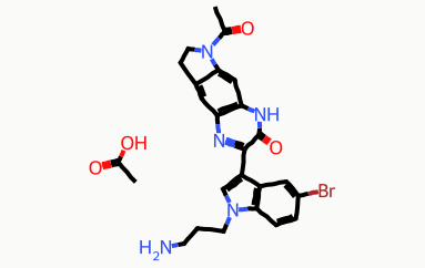 CC(=O)N1CCc2cc3nc(-c4cn(CCCN)c5ccc(Br)cc45)c(=O)[nH]c3cc21.CC(=O)O